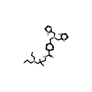 CCCN(CCC)CC(C)(C)CNC(=O)c1ccc(CN(Cc2ncc[nH]2)Cc2ncc[nH]2)cc1